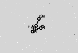 Cc1cc(C#Cc2ccc(C(C)(C)C)cc2)ccc1-n1c(/C=C/c2ccc3ncccc3c2)nc2ccccc2c1=O